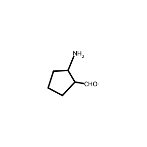 NC1CCCC1[C]=O